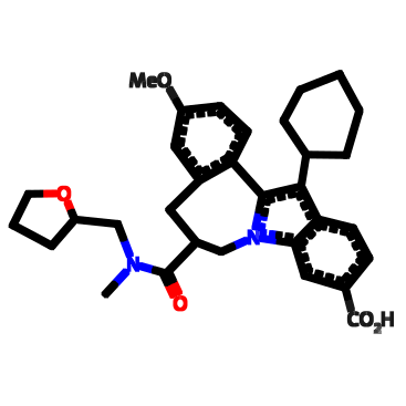 COc1ccc2c(c1)CC(C(=O)N(C)CC1CCCO1)Cn1c-2c(C2CCCCC2)c2ccc(C(=O)O)cc21